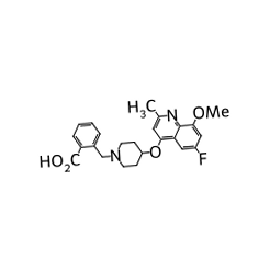 COc1cc(F)cc2c(OC3CCN(Cc4ccccc4C(=O)O)CC3)cc(C)nc12